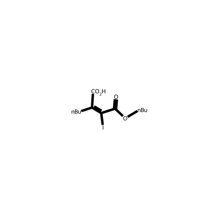 CCCCOC(=O)C(I)=C(CCCC)C(=O)O